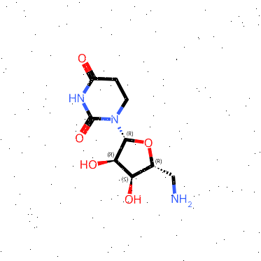 NC[C@H]1O[C@@H](N2CCC(=O)NC2=O)[C@H](O)[C@@H]1O